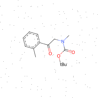 Cc1ccccc1C(=O)CN(C)C(=O)OC(C)(C)C